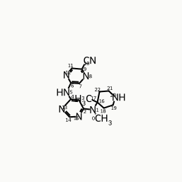 CN(c1cc(Nc2cnc(C#N)cn2)ncn1)C1(C)CCNCC1